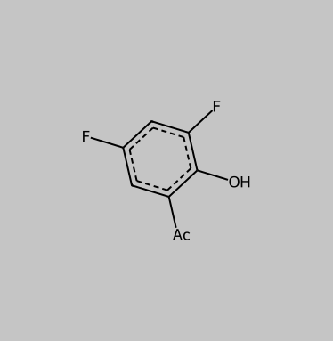 CC(=O)c1cc(F)cc(F)c1O